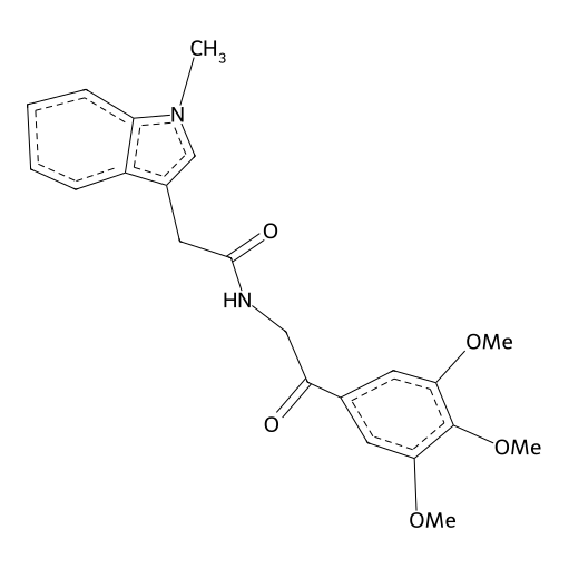 COc1cc(C(=O)CNC(=O)Cc2cn(C)c3ccccc23)cc(OC)c1OC